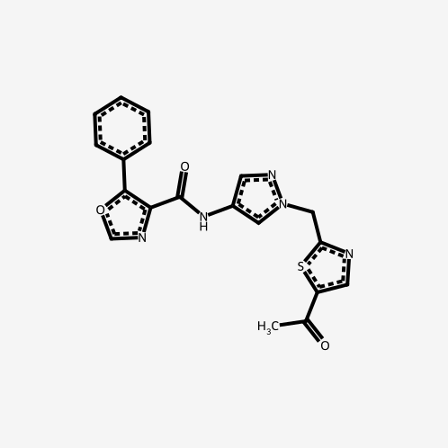 CC(=O)c1cnc(Cn2cc(NC(=O)c3ncoc3-c3ccccc3)cn2)s1